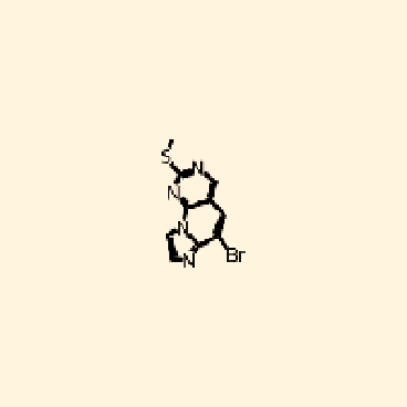 CSc1ncc2cc(Br)c3nccn3c2n1